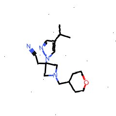 CC(C)c1cnn(C2(CC#N)CN(CC3CCOCC3)C2)c1